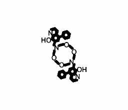 Oc1c(CN2CCOCCOCCN(Cc3cc(-c4ccccc4)c4cccnc4c3O)CCOCCOCC2)cc(-c2ccccc2)c2cccnc12